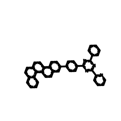 c1ccc(-c2nc(-c3ccc(-c4ccc5c(ccc6c5ccc5ccc7ccccc7c56)c4)cc3)nc(-c3ccccn3)n2)cc1